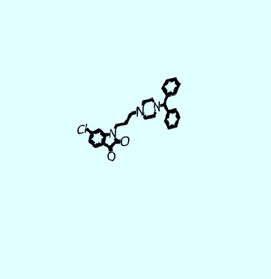 O=C1C(=O)N(CCCN2CCN(C(c3ccccc3)c3ccccc3)CC2)c2cc(Cl)ccc21